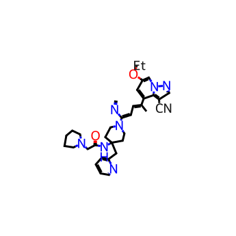 C=N/C(=C\C=C(/C)c1cc(OCC)cn2ncc(C#N)c12)N1CCC(Cc2ccccn2)(NC(=O)CN2CCCCC2)CC1